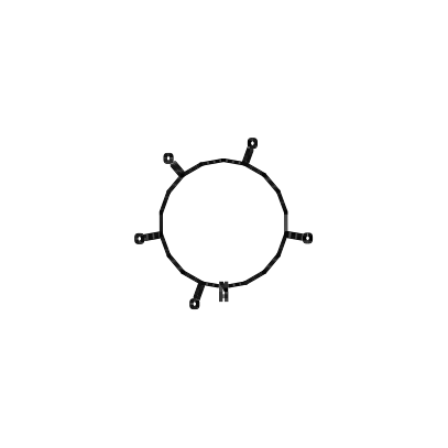 O=C1CCCNC(=O)CCC(=O)CCC(=O)CCC(=O)CCC1